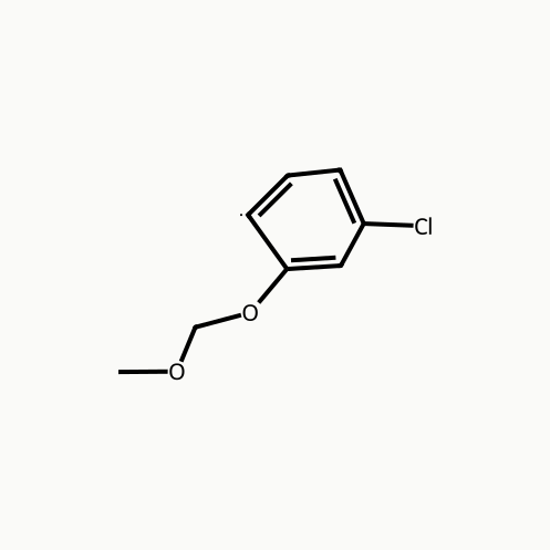 COCOc1[c]ccc(Cl)c1